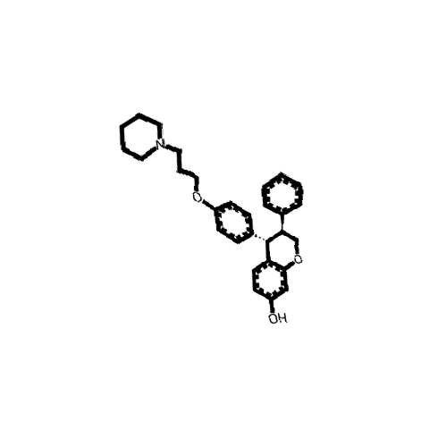 Oc1ccc2c(c1)OC[C@H](c1ccccc1)[C@H]2c1ccc(OCCCN2CCCCC2)cc1